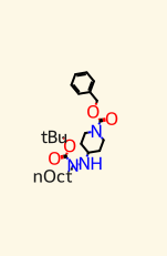 CCCCCCCCN(NC1CCN(C(=O)OCc2ccccc2)CC1)C(=O)OC(C)(C)C